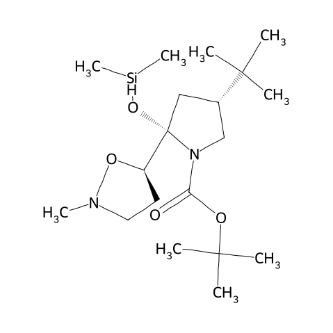 CN1CC[C@H]([C@@]2(O[SiH](C)C)C[C@H](C(C)(C)C)CN2C(=O)OC(C)(C)C)O1